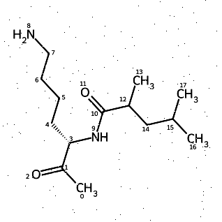 CC(=O)[C@H](CCCCN)NC(=O)C(C)CC(C)C